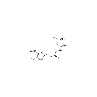 COc1cc(C=CC(=O)ONC(=N)NC(=N)N)ccc1O